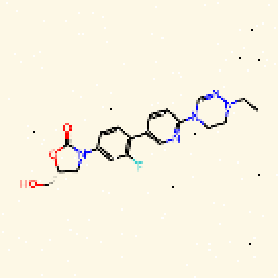 CCN1CCN(c2ccc(-c3ccc(N4C[C@H](CO)OC4=O)cc3F)cn2)C=N1